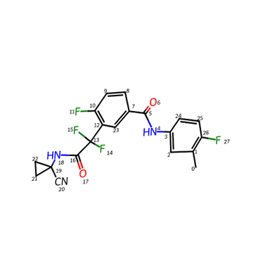 Cc1cc(NC(=O)c2ccc(F)c(C(F)(F)C(=O)NC3(C#N)CC3)c2)ccc1F